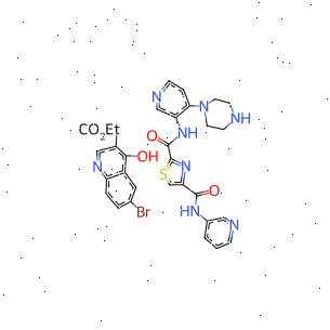 CCOC(=O)c1cnc2ccc(Br)cc2c1O.O=C(Nc1cccnc1)c1csc(C(=O)Nc2cnccc2N2CCNCC2)n1